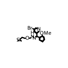 COc1ccccc1/C(=N/NCOCC[Si](C)(C)C)c1cncc(Br)c1